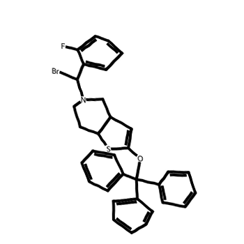 Fc1ccccc1C(Br)N1CCC2SC(OC(c3ccccc3)(c3ccccc3)c3ccccc3)=CC2C1